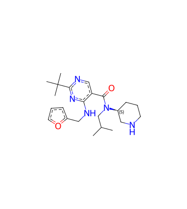 CC(C)CN(C(=O)c1cnc(C(C)(C)C)nc1NCc1ccco1)[C@H]1CCCNC1